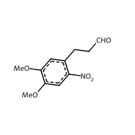 COc1cc(CCC=O)c([N+](=O)[O-])cc1OC